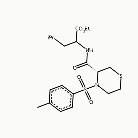 CCOC(=O)C(CC(C)C)NC(=O)[C@@H]1CSCCN1S(=O)(=O)c1ccc(C)cc1